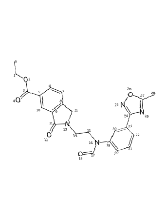 CCOC(=O)c1ccc2c(c1)C(=O)N(CCN(C=O)c1cccc(-c3noc(C)n3)c1)C2